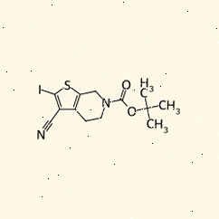 CC(C)(C)OC(=O)N1CCc2c(sc(I)c2C#N)C1